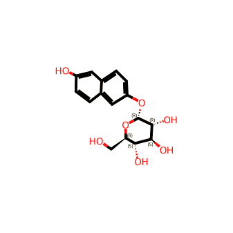 OC[C@H]1O[C@H](Oc2ccc3cc(O)ccc3c2)[C@H](O)[C@@H](O)[C@@H]1O